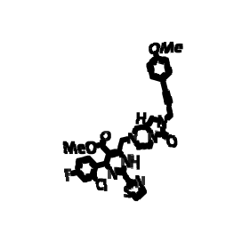 COC(=O)C1=C(CN2CCN3C(=O)N(CC#Cc4ccc(OC)cc4)C[C@@H]3C2)NC(c2nccs2)=NC1c1ccc(F)cc1Cl